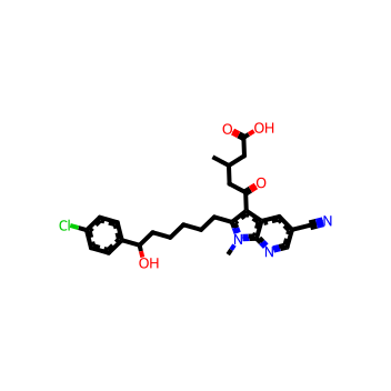 CC(CC(=O)O)CC(=O)c1c(CCCCCC(O)c2ccc(Cl)cc2)n(C)c2ncc(C#N)cc12